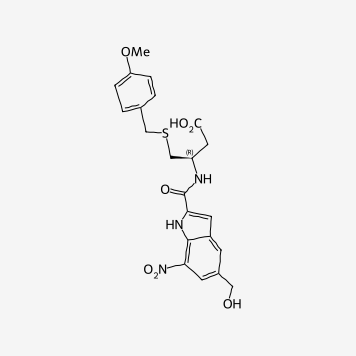 COc1ccc(CSC[C@@H](CC(=O)O)NC(=O)c2cc3cc(CO)cc([N+](=O)[O-])c3[nH]2)cc1